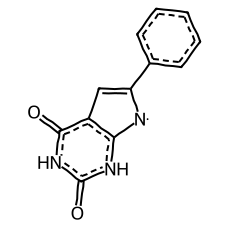 O=c1[nH]c2c(c(=O)[nH]1)C=C(c1ccccc1)[N]2